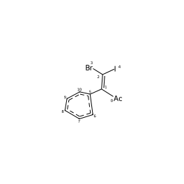 CC(=O)/C(=C(/Br)I)c1ccccc1